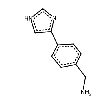 NCc1ccc(-c2c[nH]cn2)cc1